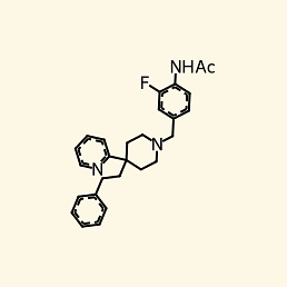 CC(=O)Nc1ccc(CN2CCC(CCc3ccccc3)(c3ccccn3)CC2)cc1F